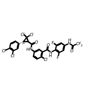 O=C(Nc1c(F)cc(NC(=O)C(F)(F)F)cc1F)c1cc(NC(=O)C2[C@H](c3ccc(Cl)c(Cl)c3)C2(Cl)Cl)ccc1Cl